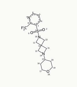 O=S(=O)(c1cccnc1C(F)(F)F)N1CC2(CN(C3CCOCC3)C2)C1